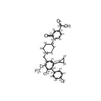 COc1c(CN2CCC(n3ccc(C(=O)O)cc3=O)CC2)cc(C2CC2)c(-c2ccc(F)cc2)c1Cl